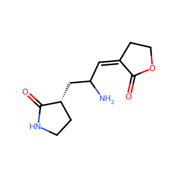 NC(/C=C1/CCOC1=O)C[C@@H]1CCNC1=O